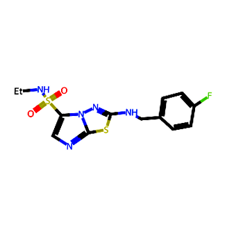 CCNS(=O)(=O)c1cnc2sc(NCc3ccc(F)cc3)nn12